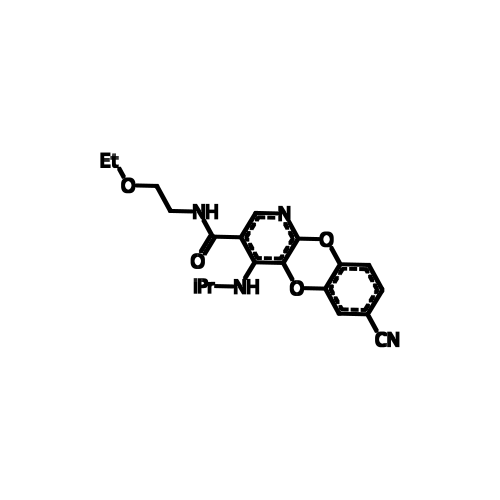 CCOCCNC(=O)c1cnc2c(c1NC(C)C)Oc1cc(C#N)ccc1O2